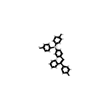 Cc1ccc(/C(=C/c2ccc(N(c3ccc(C)cc3)c3ccc(C)cc3)cc2)c2ccccc2)cc1